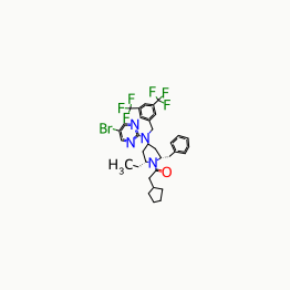 CC[C@@H]1C[C@H](N(Cc2cc(C(F)(F)F)cc(C(F)(F)F)c2)c2ncc(Br)cn2)C[C@H](Cc2ccccc2)N1C(=O)CC1CCCC1